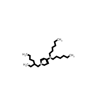 CCCCCCN(CCCCCC)C1=CCN(CC(CC)CCCC)C=C1